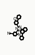 N#Cc1ccc(-n2c3ccccc3c3ccccc32)c(-c2nc(-c3ccccc3)nc(-c3ccc4oc5ccccc5c4c3)n2)c1